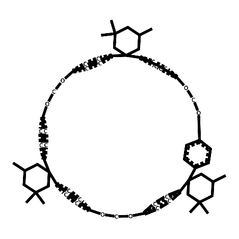 CC1CC(C)(C)CC2(C1)c1ccc(cc1)OCOc1ccc(cc1)C1(CC(C)CC(C)(C)C1)c1ccc(cc1)OCOc1ccc(cc1)C1(CC(C)CC(C)(C)C1)c1ccc(cc1)OCOc1ccc2cc1